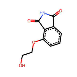 O=C1NC(=O)c2c(OCCO)cccc21